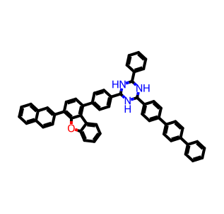 c1ccc(-c2ccc(-c3ccc(C4NC(c5ccccc5)NC(c5ccc(-c6ccc(-c7ccc8ccccc8c7)c7oc8ccccc8c67)cc5)N4)cc3)cc2)cc1